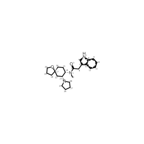 CN(C(=O)Cc1c[nH]c2ccccc12)[C@H]1CC[C@]2(CCCO2)C[C@H]1N1CCCC1